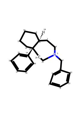 c1ccc(CN2CC[C@@H]3CCCC[C@@]3(c3ccccc3)CC2)cc1